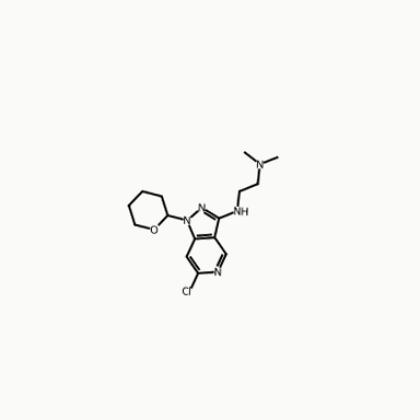 CN(C)CCNc1nn(C2CCCCO2)c2cc(Cl)ncc12